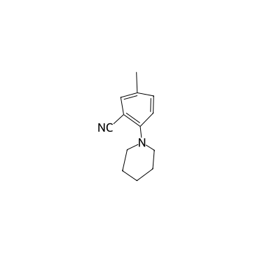 Cc1ccc(N2CCCCC2)c(C#N)c1